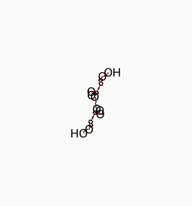 CCOC(=O)c1cc(C#Cc2ccc3cc(OCCCO)ccc3c2)ccc1OCCCCCCOc1ccc(C#Cc2ccc3cc(OCCCO)ccc3c2)cc1C(=O)OCC